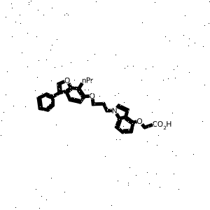 CCCc1c(OCCCn2ccc3c(OCC(=O)O)cccc32)ccc2c(-c3ccccc3)coc12